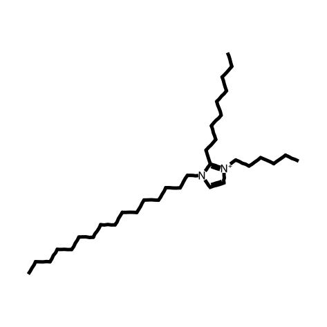 CCCCCCCCCCCCCCCCn1cc[n+](CCCCCC)c1CCCCCCCCC